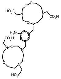 Nc1cc(CN2CCN(CC(=O)O)CCOCCN(CC(=O)O)CC2)cc(CN2CCN(CC(=O)O)CCOCCN(CC(=O)O)CC2)c1